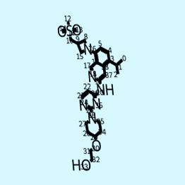 CC(C)c1ccc(N2CC(CS(C)(=O)=O)C2)c2cnc(Nc3ccnc(N4CCC(OCCO)CC4)n3)cc12